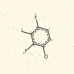 Cc1c(F)ccc(Cl)c1F